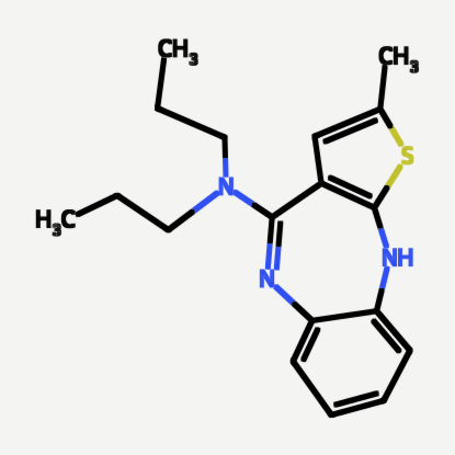 CCCN(CCC)C1=Nc2ccccc2Nc2sc(C)cc21